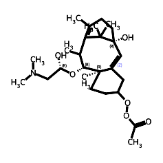 CC(=O)OOC1CC[C@]2(C)/C(=C\[C@]3(O)CCC(C)=C(C(C)[C@H]2O[C@@H](O)CN(C)C)C3(C)C)C1